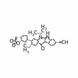 C#Cc1ccc2c(c1)[nH]c1c2c(=O)c2cc(CC)c(-c3cccc(OS(=O)(=O)F)c3)cc2n1C(C)C